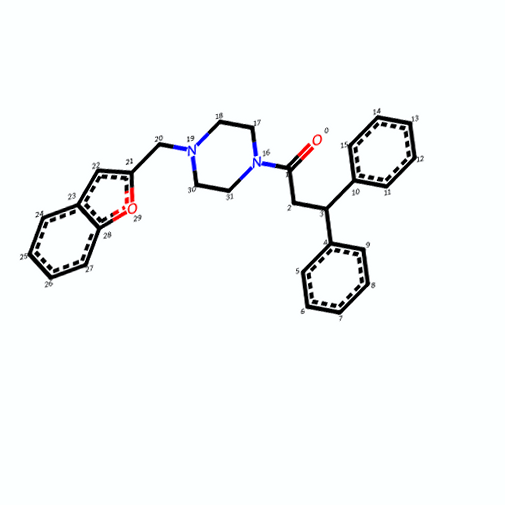 O=C(CC(c1ccccc1)c1ccccc1)N1CCN(Cc2cc3ccccc3o2)CC1